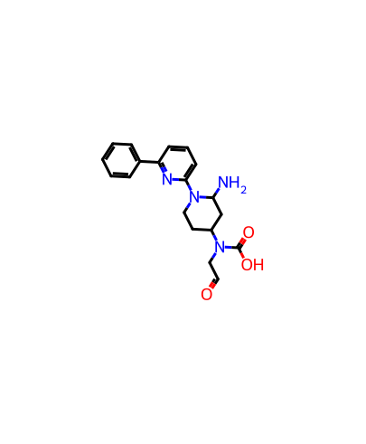 NC1CC(N(CC=O)C(=O)O)CCN1c1cccc(-c2ccccc2)n1